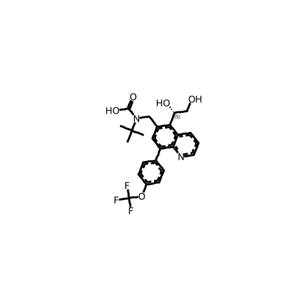 CC(C)(C)N(Cc1cc(-c2ccc(OC(F)(F)F)cc2)c2ncccc2c1[C@H](O)CO)C(=O)O